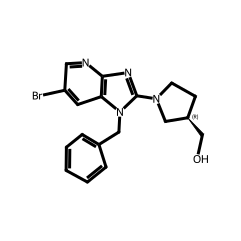 OC[C@@H]1CCN(c2nc3ncc(Br)cc3n2Cc2ccccc2)C1